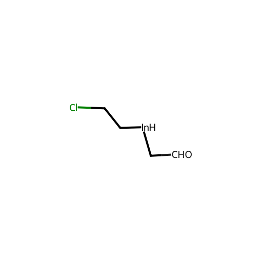 O=C[CH2][InH][CH2]CCl